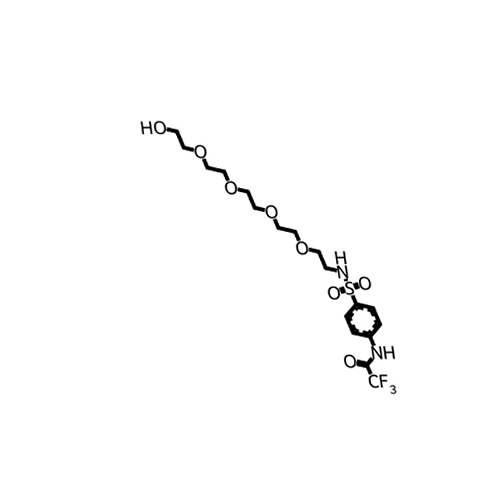 O=C(Nc1ccc(S(=O)(=O)NCCOCCOCCOCCOCCO)cc1)C(F)(F)F